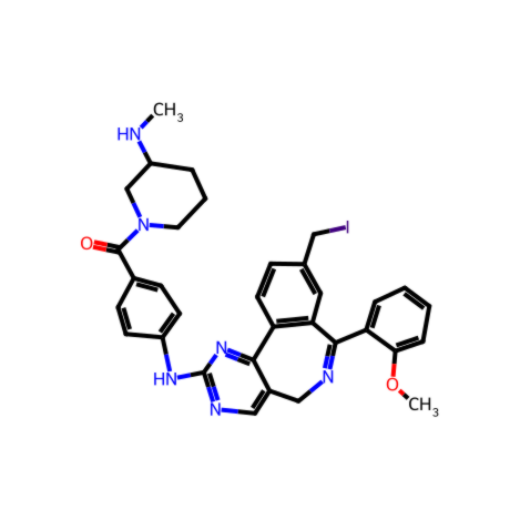 CNC1CCCN(C(=O)c2ccc(Nc3ncc4c(n3)-c3ccc(CI)cc3C(c3ccccc3OC)=NC4)cc2)C1